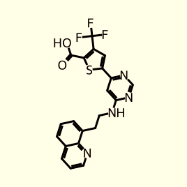 O=C(O)c1sc(-c2cc(NCCc3cccc4cccnc34)ncn2)cc1C(F)(F)F